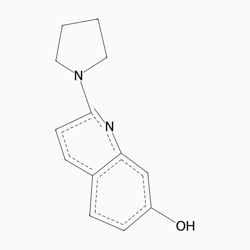 Oc1ccc2ccc(N3CCCC3)nc2c1